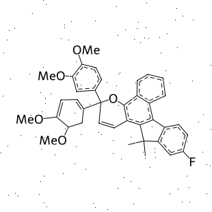 COC1=CC=C(C2(c3ccc(OC)c(OC)c3)C=Cc3c4c(c5ccccc5c3O2)-c2ccc(F)cc2C4(C)C)CC1OC